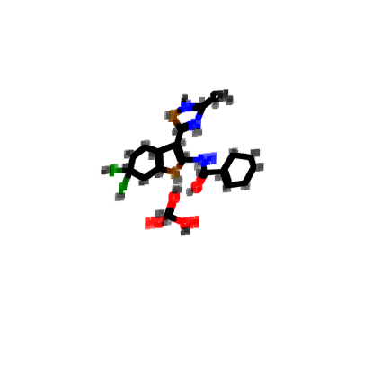 Cc1nsc(-c2c(NC(=O)C3=CCCCC3)sc3c2CCC(F)(F)C3)n1.O=C(O)O